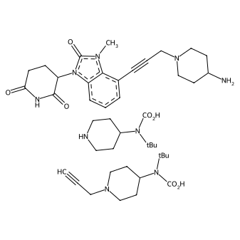 C#CCN1CCC(N(C(=O)O)C(C)(C)C)CC1.CC(C)(C)N(C(=O)O)C1CCNCC1.Cn1c(=O)n(C2CCC(=O)NC2=O)c2cccc(C#CCN3CCC(N)CC3)c21